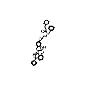 O=C(c1ccccc1)c1ccccc1N[C@@H](Cc1ccc(OCCCN(Cc2ccccc2)C(=O)CCC2CCCCC2)cc1)C(=O)O